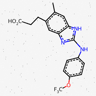 Cc1cc2[nH]c(Nc3ccc(OC(F)(F)F)cc3)nc2cc1CCC(=O)O